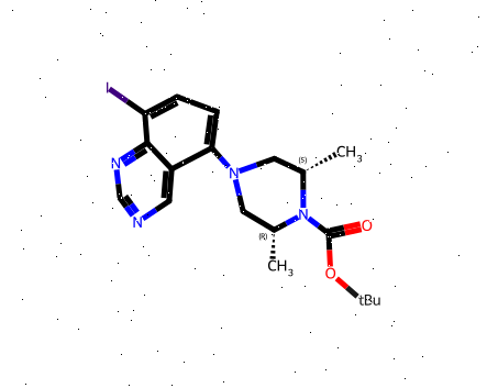 C[C@@H]1CN(c2ccc(I)c3ncncc23)C[C@H](C)N1C(=O)OC(C)(C)C